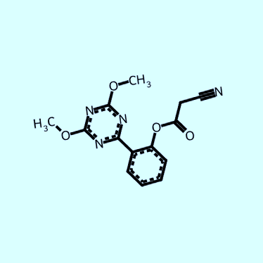 COc1nc(OC)nc(-c2ccccc2OC(=O)CC#N)n1